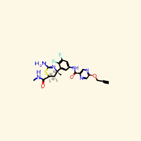 C#CCOc1cnc(C(=O)Nc2cc(F)c(F)c([C@@]3(C)N=C(N)S[C@](C)(C(=O)NC)[C@H]3C)c2)cn1